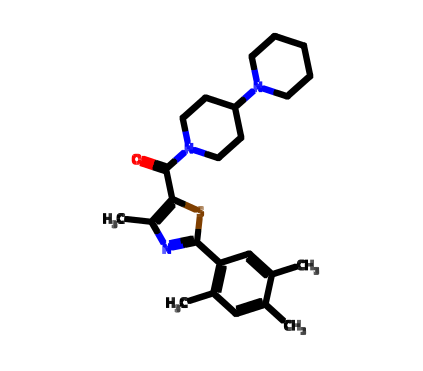 Cc1cc(C)c(-c2nc(C)c(C(=O)N3CCC(N4CCCCC4)CC3)s2)cc1C